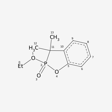 CCOP1(=O)Oc2ccccc2C1(C)C